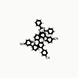 N#Cc1ccc(-c2ccc(-c3cc(-c4nc(-c5ccccc5)nc(-c5ccccc5)n4)ccc3-n3c4ccccc4c4cc(C#N)ccc43)c(-n3c4ccccc4c4cc(C#N)ccc43)c2)cc1